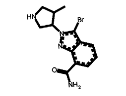 CC1CNCC1n1nc2c(C(N)=O)cccc2c1Br